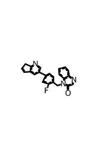 O=c1cnc2ccccc2n1Cc1ccc(-c2cnc3c(c2)C=CC3)cc1F